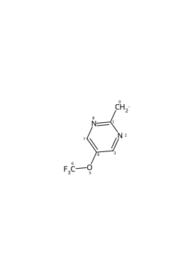 [CH2]c1ncc(OC(F)(F)F)cn1